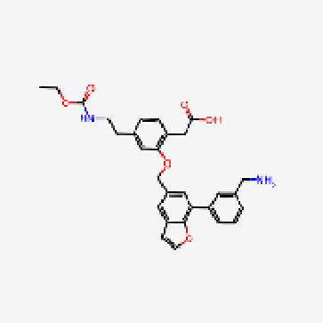 CCOC(=O)NCCc1ccc(CC(=O)O)c(OCc2cc(-c3cccc(CN)c3)c3occc3c2)c1